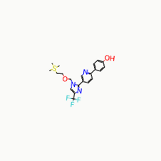 CS(C)(C)CCOCn1cc(C(F)(F)F)nc1-c1ccc(-c2ccc(O)cc2)nc1